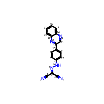 N#CC(C#N)=NNc1ccc(-c2cnc3ccccc3n2)cc1